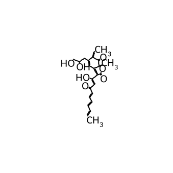 C/C=C1\C(=O)C2(C)OC(=O)C(/C(O)=C/C(=O)/C=C/C=C/C=C/C)=C2C=C1CC(O)CO